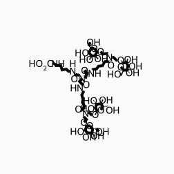 O=C(O)NCCCCCNC(=O)CN(CC(=O)NCCCCCC(=O)N(CCO[C@H]1O[C@H](CO)[C@@H](O)[C@H](O)[C@@H]1O)CCO[C@H]1O[C@H](CO)[C@@H](O)[C@H](O)[C@@H]1O)CC(=O)NCCCCCC(=O)N(CCO[C@H]1O[C@H](CO)[C@@H](O)[C@H](O)[C@@H]1O)CCO[C@@H]1O[C@@H](CO)[C@H](O)[C@@H](O)[C@H]1O